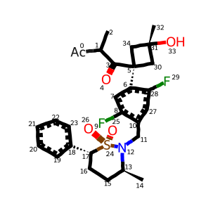 CC(=O)C(C)C(=O)[C@]1(c2cc(F)c(CN3[C@@H](C)CC[C@H](c4ccccc4)S3(=O)=O)cc2F)C[C@@](C)(O)C1